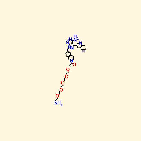 C/C=C\c1cc(-c2nn(Cc3ccc4c(c3)CCN(C(=O)CCOCCOCCOCCOCCOCCN)C4)c3ncnc(N)c23)cnc1C